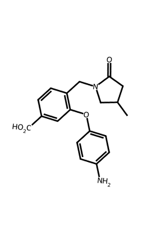 CC1CC(=O)N(Cc2ccc(C(=O)O)cc2Oc2ccc(N)cc2)C1